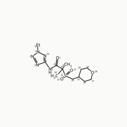 CCn1nnc(NC(=O)C(C)(C)S(=O)(=O)CC2CCOCC2)n1